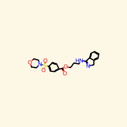 O=C(OCCCNC1=NCc2ccccc21)c1ccc(S(=O)(=O)N2CCOCC2)cc1